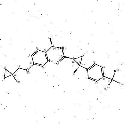 C[C@@H](NC(=O)[C@H]1C[C@]1(C)c1ccc(C(F)(F)F)cc1)c1ccc(OCC2(C)CC2)cn1